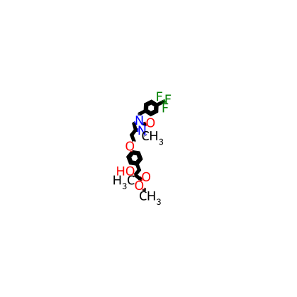 CCOC(=O)C(C)(O)Cc1ccc(OCCC2CN(Cc3ccc(C(F)(F)F)cc3)C(=O)N2C)cc1